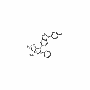 CC[C@@]1(C)[CH][C@H](c2ccccc2)N(c2ccc3c(cnn3-c3ccc(F)cc3)c2)C1=O